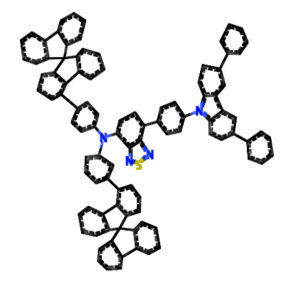 c1ccc(-c2ccc3c(c2)c2cc(-c4ccccc4)ccc2n3-c2ccc(-c3ccc(N(c4ccc(-c5cccc6c5-c5ccccc5C65c6ccccc6-c6ccccc65)cc4)c4cccc(-c5cccc6c5-c5ccccc5C65c6ccccc6-c6ccccc65)c4)c4nsnc34)cc2)cc1